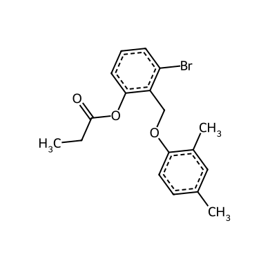 CCC(=O)Oc1cccc(Br)c1COc1ccc(C)cc1C